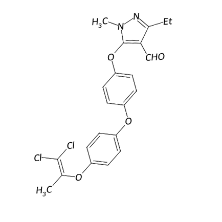 CCc1nn(C)c(Oc2ccc(Oc3ccc(OC(C)=C(Cl)Cl)cc3)cc2)c1C=O